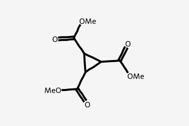 COC(=O)C1C(C(=O)OC)C1C(=O)OC